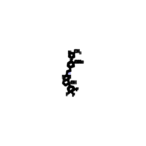 COc1cc(/C=C/c2nc3n(n2)CC[C@]3(O)c2cc(F)c(F)c(F)c2)ccc1-n1cnc(C)c1